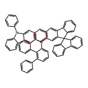 c1ccc(-c2ccccc2-c2c(-c3ccccc3)cccc2N(c2ccc3c(c2)C2(c4ccccc4-c4ccccc42)c2ccccc2-3)c2ccc3c(c2)c2ccccc2n3-c2ccccc2)cc1